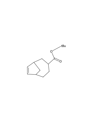 CC(C)(C)OC(=O)C1CCC2C=CC(C2)C1